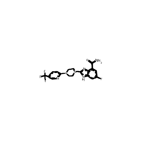 NC(=O)c1cc(F)cc2[nH]c(N3CCN(c4ccc(C(F)(F)F)cn4)CC3)nc12